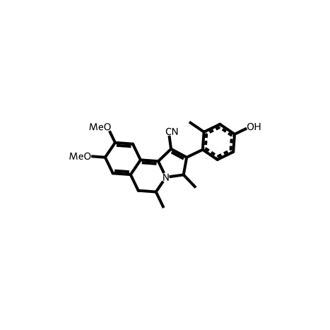 COC1=CC2=C3C(C#N)=C(c4ccc(O)cc4C)C(C)N3C(C)CC2=CC1OC